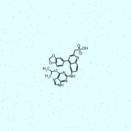 CC(C)Oc1nc(Nc2ccc3nc(CS(=O)(=O)O)cc(-c4ccc5c(c4)OCO5)c3c2)nc2[nH]cnc12